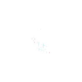 COCCCCOC(C)OCC(F)(F)C(F)(F)C(F)(F)C(F)(F)COC(C)C